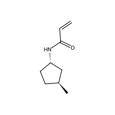 C=CC(=O)N[C@H]1CC[C@H](C)C1